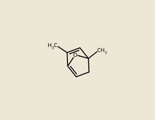 CC1=CC2(C)CC=C1O2